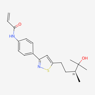 C=CC(=O)Nc1ccc(-c2cc(CC[C@H](C)C(C)(C)O)sn2)cc1